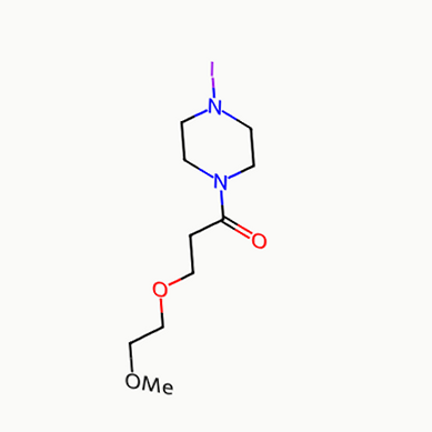 COCCOCCC(=O)N1CCN(I)CC1